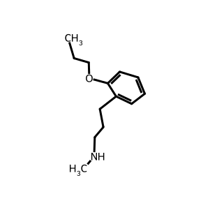 CCCOc1ccccc1CCCNC